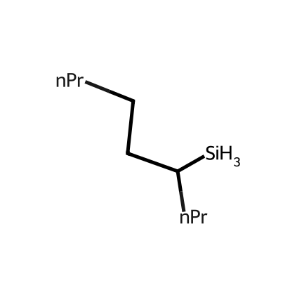 CCCCCC([SiH3])CCC